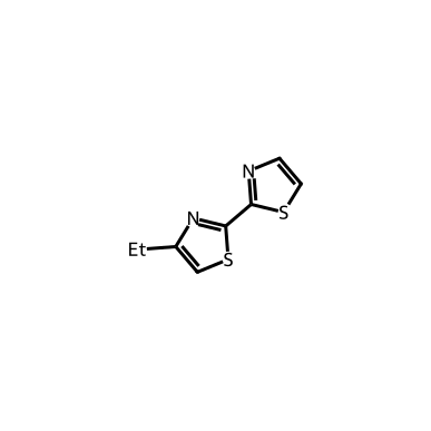 CCc1csc(-c2nccs2)n1